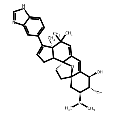 CN(C)[C@H]1C[C@@]23CC[C@@]4(O2)C(=CC(C)(C)[C@]2(C)C(c5ccc6[nH]cnc6c5)=CCC42)C=C3[C@@H](O)[C@@H]1O